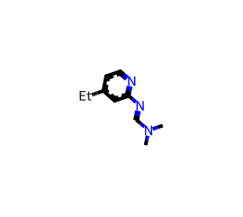 CCc1ccnc(N=CN(C)C)c1